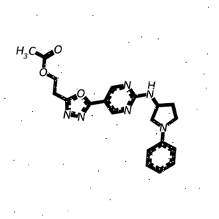 CC(=O)OCCc1nnc(-c2cnc(NC3CCN(c4ccccc4)C3)nc2)o1